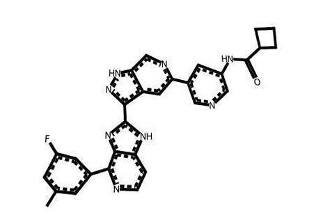 Cc1cc(F)cc(-c2nccc3[nH]c(-c4n[nH]c5cnc(-c6cncc(NC(=O)C7CCC7)c6)cc45)nc23)c1